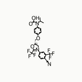 CC(C)N(C(=O)O)c1ccc(OC[C@@H]2CN(c3ccc(C#N)c(C(F)(F)F)c3)[C@@H](C(F)(F)F)O2)cc1